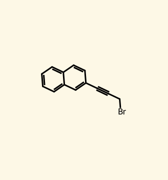 BrCC#Cc1ccc2ccccc2c1